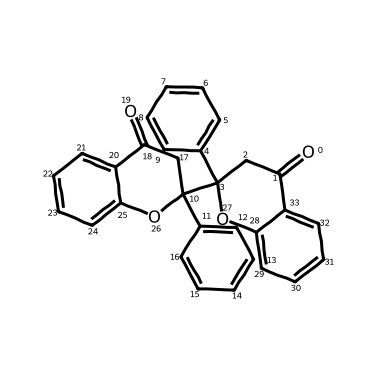 O=C1CC(c2ccccc2)(C2(c3ccccc3)CC(=O)c3ccccc3O2)Oc2ccccc21